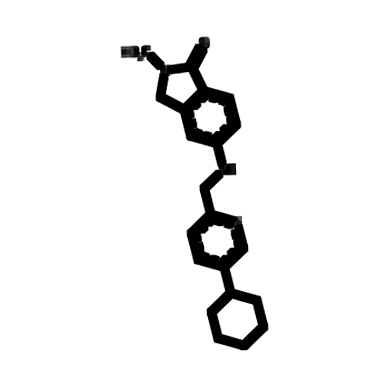 O=C(O)N1Cc2cc(NCc3ccc(C4CCCCC4)cn3)ccc2C1=O